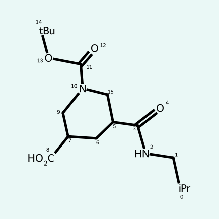 CC(C)CNC(=O)C1CC(C(=O)O)CN(C(=O)OC(C)(C)C)C1